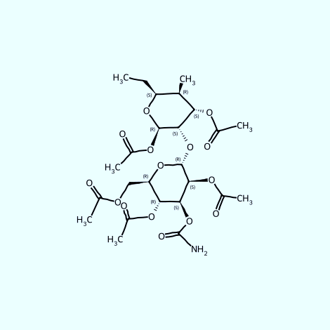 CC[C@@H]1O[C@H](OC(C)=O)[C@@H](O[C@H]2O[C@H](COC(C)=O)[C@@H](OC(C)=O)[C@H](OC(N)=O)[C@@H]2OC(C)=O)[C@@H](OC(C)=O)[C@@H]1C